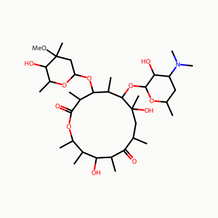 COC1(C)CC(OC2C(C)C(=O)OC(C)C(C)C(O)C(C)C(=O)C(C)CC(C)(O)C(OC3OC(C)CC(N(C)C)C3O)C2C)OC(C)C1O